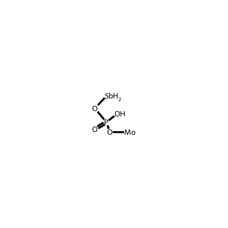 O=P(O)([O][Mo])[O][SbH2]